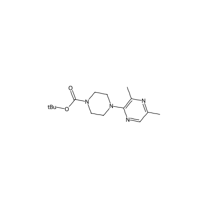 Cc1cnc(N2CCN(C(=O)OC(C)(C)C)CC2)c(C)n1